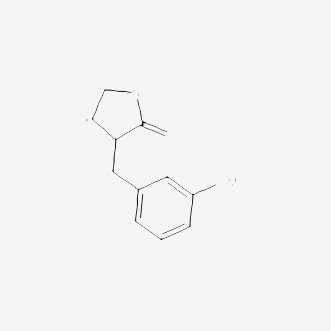 COc1cccc(CC2CCNC2=O)c1